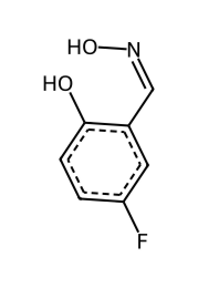 O/N=C\c1cc(F)ccc1O